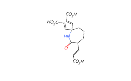 O=C(O)C=CC1CCCC(C=CC(=O)O)(C=CC(=O)O)NC1=O